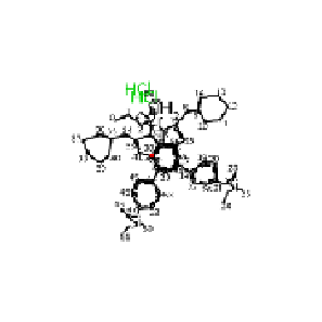 CC[CH2][Zr]([CH3])(=[SiH2])([CH]1C(CC2CCCCC2)=Cc2c(-c3ccc([Si](C)(C)C)cc3)cccc21)[CH]1C(CC2CCCCC2)=Cc2c(-c3ccc([Si](C)(C)C)cc3)cccc21.Cl.Cl